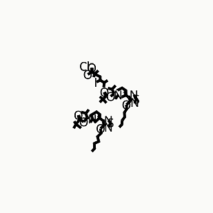 CC(C)C(I)CC(C)(C)C(=O)[O-].CCCCCCOc1nsnc1C1=CCC[N+](C)(C(OC(=O)C(C)(C)C)C(C)C)C1.CCCCCCOc1nsnc1C1=CCC[N+](C)(C(OC(=O)C(C)(C)C)C(C)C)C1.[Cl-]